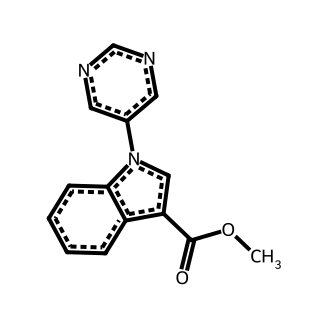 COC(=O)c1cn(-c2cncnc2)c2ccccc12